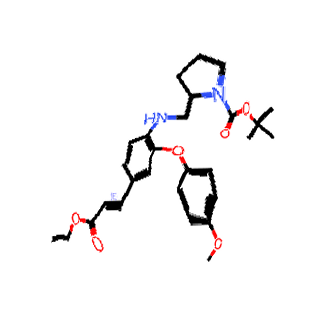 CCOC(=O)/C=C/c1ccc(NCC2CCCN2C(=O)OC(C)(C)C)c(Oc2ccc(OC)cc2)c1